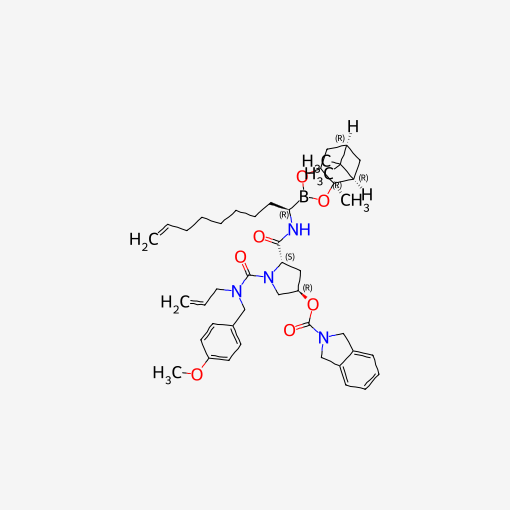 C=CCCCCCC[C@H](NC(=O)[C@@H]1C[C@@H](OC(=O)N2Cc3ccccc3C2)CN1C(=O)N(CC=C)Cc1ccc(OC)cc1)B1OC2C[C@H]3C[C@H](C3(C)C)[C@@]2(C)O1